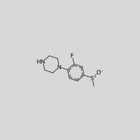 C[S+]([O-])c1ccc(N2CCNCC2)c(F)c1